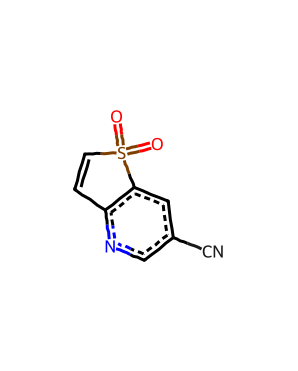 N#Cc1cnc2c(c1)S(=O)(=O)C=C2